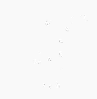 C=CC(=O)N1CCN(c2nc(OCC3CCCN3C)nc3c2CCC(c2cccc4cccc(C)c24)O3)C[C@@H]1CC#N